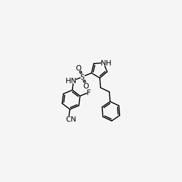 N#Cc1ccc(NS(=O)(=O)c2c[nH]cc2CCc2ccccc2)c(F)c1